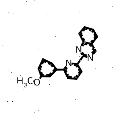 COc1cccc(-c2cccc(-c3ncc4ccccc4n3)n2)c1